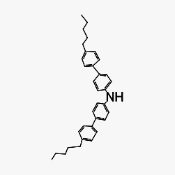 CCCCCc1ccc(-c2ccc(Nc3ccc(-c4ccc(CCCCC)cc4)cc3)cc2)cc1